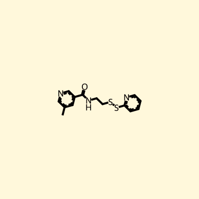 Cc1cncc(C(=O)NCCSSc2ccccn2)c1